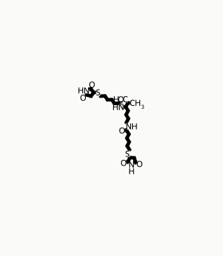 CC(C)C(CCCCNC(=O)CCCCCSC1CC(=O)NC1=O)NC(=O)CCCCCSC1CC(=O)NC1=O